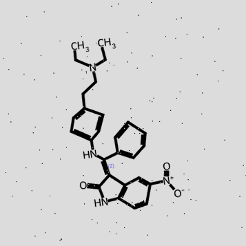 CCN(CC)CCc1ccc(N/C(=C2\C(=O)Nc3ccc([N+](=O)[O-])cc32)c2ccccc2)cc1